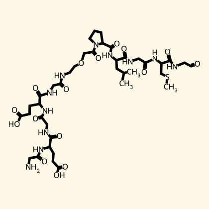 CSCC(NC(=O)CNC(=O)C(CC(C)C)NC(=O)C1CCCN1C(=O)COCCNC(=O)CNC(=O)C(CCC(=O)O)NC(=O)CNC(=O)C(CCC(=O)O)NC(=O)CN)C(=O)NCC=O